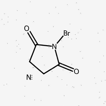 O=C1CCC(=O)N1Br.[N]